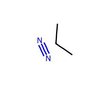 CCC.N#N